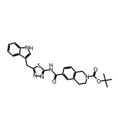 CC(C)(C)OC(=O)N1CCc2cc(C(=O)Nc3nnc(Cc4c[nH]c5ccccc45)s3)ccc2C1